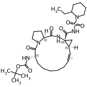 CCC1CCCCN1S(=O)(=O)NC(=O)[C@@]12C[C@H]1/C=C\CCCCC[C@H](NC(=O)OC(C)(C)C)C(=O)N1CCC[C@H]1C(=O)N2